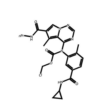 CCCNC(=O)c1cn2ncnc(N(C(=O)OCCl)c3cc(C(=O)NC4CC4)ccc3C)c2c1C